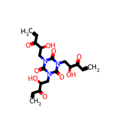 C=CC(=O)C(O)Cn1c(=O)n(CC(O)C(=O)C=C)c(=O)n(CC(O)C(=O)C=C)c1=O